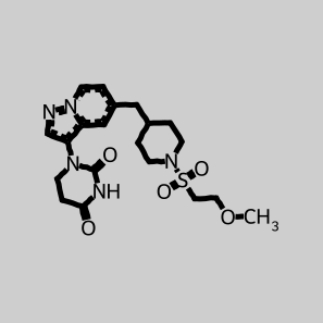 COCCS(=O)(=O)N1CCC(Cc2ccn3ncc(N4CCC(=O)NC4=O)c3c2)CC1